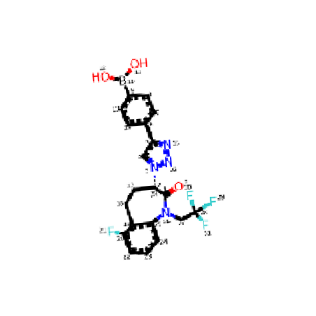 O=C1[C@@H](n2cc(-c3ccc(B(O)O)cc3)nn2)CCc2c(F)cccc2N1CC(F)(F)F